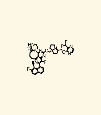 C#Cc1c(F)ccc2cccc(-c3nc4c5c(nc(OC[C@@]67CCCN6[C@H](COc6nccnc6C(F)F)CC7)nc5c3F)N3CCN[C@@H](C)[C@H]3CCC4)c12